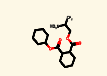 O=C(OCC(C(F)(F)F)S(=O)(=O)O)C1CCCCC1C(=O)OC1CCCCC1